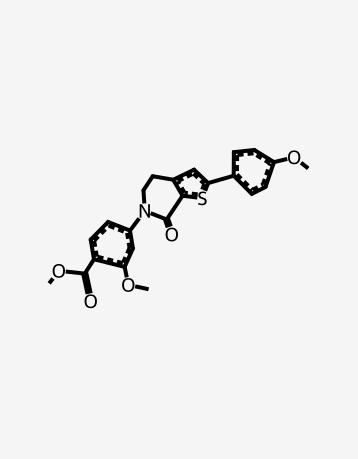 COC(=O)c1ccc(N2CCc3cc(-c4ccc(OC)cc4)sc3C2=O)cc1OC